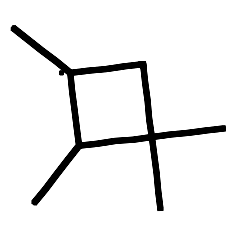 C[C]1CC(C)(C)C1C